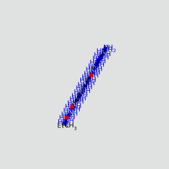 CCN(C)NNNNNNNNNNNNNNNNNNNNNNNNNNNNNNNNNNNNNNNNN